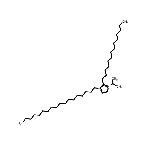 CCCCCCCCCCCCCCCCCCn1cc[n+](C(C)C)c1CCCCCCCCCCCCCC